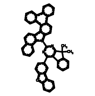 CC1(C)c2ccccc2-c2c(-c3ccc4oc5ccccc5c4c3)nc(-n3c4ccc5c6ccccc6c6ccccc6c5c4c4ccc5ccccc5c43)nc21